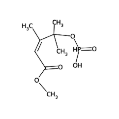 COC(=O)C=C(C)C(C)(C)O[PH](=O)O